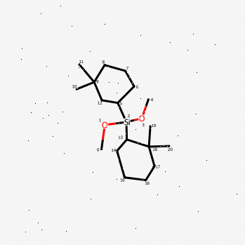 CO[Si](OC)(C1CCCC(C)(C)C1)C1CCCCC1(C)C